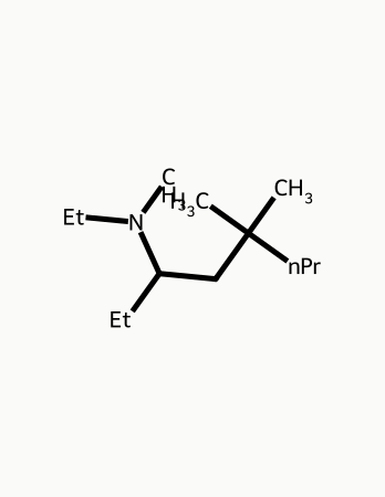 CCCC(C)(C)CC(CC)N(C)CC